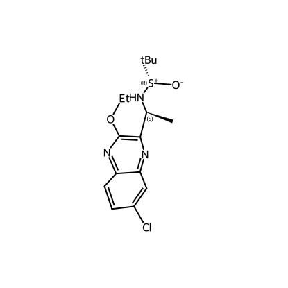 CCOc1nc2ccc(Cl)cc2nc1[C@H](C)N[S@@+]([O-])C(C)(C)C